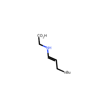 CCCCCC=CNCC(=O)O